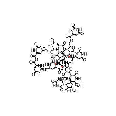 O=C(OC(=O)c1cc(=O)[nH]c(=O)[nH]1)c1cc(=O)[nH]c(=O)[nH]1.O=C(OC[C@H]1O[C@@H](n2c(C(=O)OC[C@H]3O[C@@H](n4c(C(=O)O)cc(=O)[nH]c4=O)[C@H](OC(=O)c4cc(=O)[nH]c(=O)n4[C@@H]4O[C@H](CO)[C@@H](O)[C@H]4O)[C@@H]3OC(=O)c3cc(=O)[nH]c(=O)[nH]3)cc(=O)[nH]c2=O)[C@H](OC(=O)c2cc(=O)[nH]c(=O)[nH]2)[C@@H]1OC(=O)c1cc(=O)[nH]c(=O)n1[C@@H]1O[C@H](CO)[C@@H](O)[C@H]1O)c1cc(=O)[nH]c(=O)[nH]1